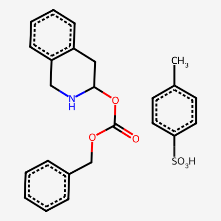 Cc1ccc(S(=O)(=O)O)cc1.O=C(OCc1ccccc1)OC1Cc2ccccc2CN1